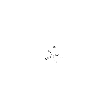 O=S(=O)(O)O.[Co].[Zn]